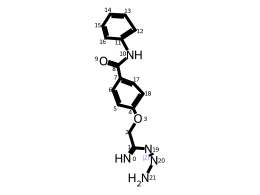 N=C(COc1ccc(C(=O)Nc2ccccc2)cc1)/N=N\N